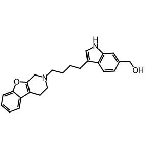 OCc1ccc2c(CCCCN3CCc4c(oc5ccccc45)C3)c[nH]c2c1